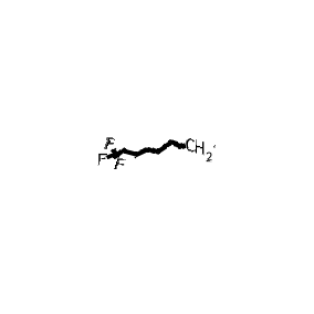 [CH2]CCCC[CH]CC(F)(F)F